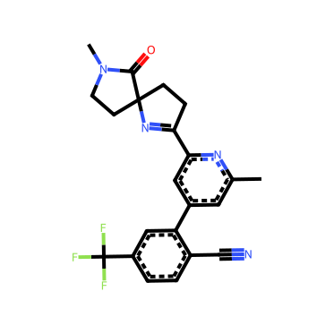 Cc1cc(-c2cc(C(F)(F)F)ccc2C#N)cc(C2=NC3(CC2)CCN(C)C3=O)n1